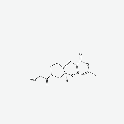 C=C(COC(C)=O)[C@H]1CCC2=Cc3c(cc(C)oc3=O)O[C@H]2C1